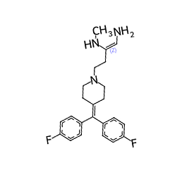 CN/C(=C\N)CCN1CCC(=C(c2ccc(F)cc2)c2ccc(F)cc2)CC1